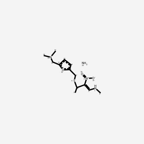 CNC=C(C(C)SCc1ccc(CN(C)C)o1)[N+](=O)[O-].N